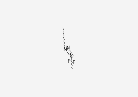 CCCCCCCCCCCc1cnc(-c2ccc(OCCC(F)C(F)CCCC)cc2)nc1